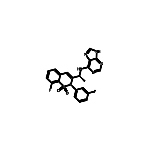 C[C@H](Nc1ncnc2[nH]cnc12)C1=Cc2cccc(F)c2S(=O)(=O)N1c1cccc(F)c1